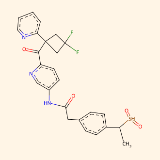 CC(c1ccc(CC(=O)Nc2ccc(C(=O)C3(c4ccccn4)CC(F)(F)C3)nc2)cc1)[SH](=O)=O